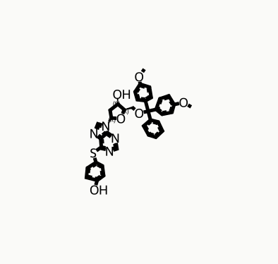 COc1ccc(C(OC[C@H]2O[C@@H](n3cnc4c(Sc5ccc(O)cc5)ncnc43)C[C@@H]2O)(c2ccccc2)c2ccc(OC)cc2)cc1